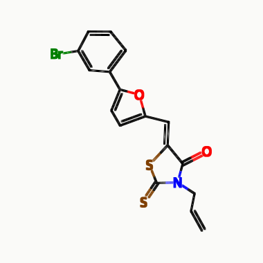 C=CCN1C(=O)C(=Cc2ccc(-c3cccc(Br)c3)o2)SC1=S